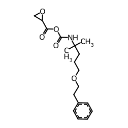 CC(C)(CCCOCCc1ccccc1)NC(=O)OC(=O)C1CO1